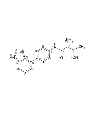 CC(O)[C@@H](N)C(=O)Nc1ccc(-c2ccnc3[nH]ccc23)cc1